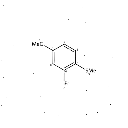 COc1ccc(SC)c([C](C)C)c1